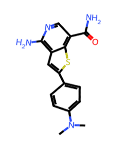 CN(C)c1ccc(-c2cc3c(N)ncc(C(N)=O)c3s2)cc1